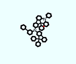 c1ccc(-c2cccc(N(c3ccc4c(c3)C(c3ccccc3)(c3ccccc3)c3ccccc3-4)c3ccc4c(c3)C3(c5ccccc5)c5ccccc5N(c5ccccc5)c5cccc-4c53)c2)cc1